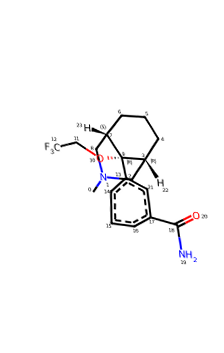 CN1C[C@H]2CCC[C@@H](C1)[C@]2(OCC(F)(F)F)c1cccc(C(N)=O)c1